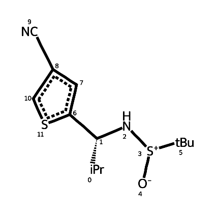 CC(C)[C@@H](N[S+]([O-])C(C)(C)C)c1cc(C#N)cs1